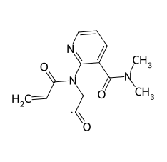 C=CC(=O)N(C[C]=O)c1ncccc1C(=O)N(C)C